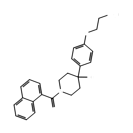 O=C(O)CCOc1ccc(C2(O)CCN(C(=O)c3cccc4ccccc34)CC2)cc1